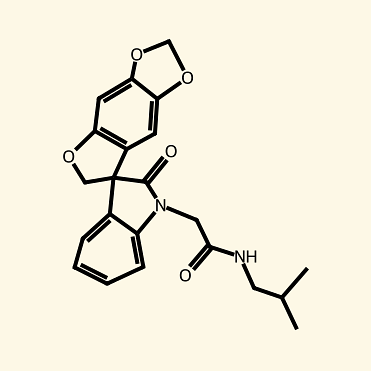 CC(C)CNC(=O)CN1C(=O)C2(COc3cc4c(cc32)OCO4)c2ccccc21